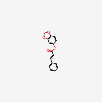 O=C(/C=C/c1ccccc1)Oc1ccc2c(c1)OCO2